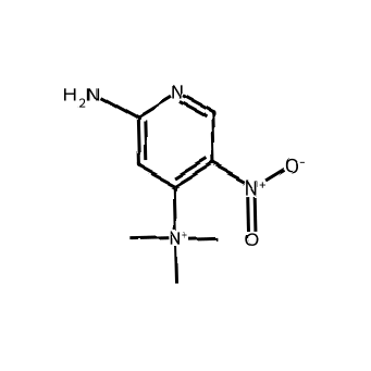 C[N+](C)(C)c1cc(N)ncc1[N+](=O)[O-]